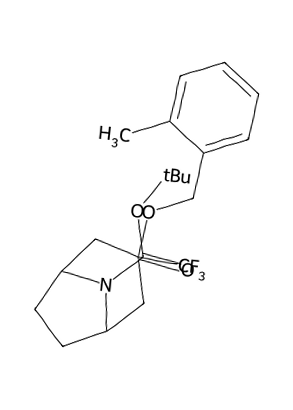 Cc1ccccc1COC1(C(F)(F)F)CC2CCC(C1)N2C(=O)OC(C)(C)C